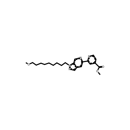 COCCCCCCCCCn1ncc2cc(-c3cc(C(=O)OC)ccn3)ncc21